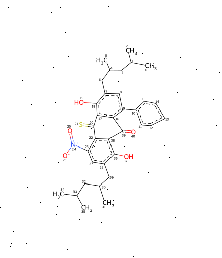 CC(C)CC(C)Cc1cc(-c2ccccc2)c2c(c1O)C(=S)c1c([N+](=O)[O-])cc(CC(C)CC(C)C)c(O)c1C2=O